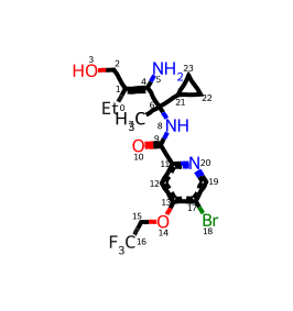 CC/C(CO)=C(/N)C(C)(NC(=O)c1cc(OCC(F)(F)F)c(Br)cn1)C1CC1